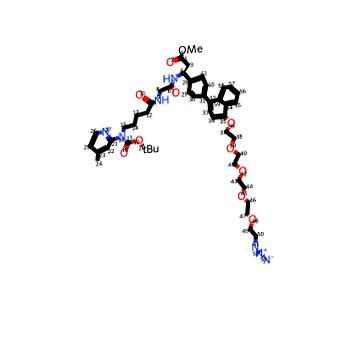 COC(=O)C[C@H](NC(=O)CNC(=O)CCCCN(C(=O)OC(C)(C)C)c1cc(C)ccn1)c1ccc(-c2ccc(OCCOCCOCCOCCOCCN=[N+]=[N-])c3ccccc23)cc1